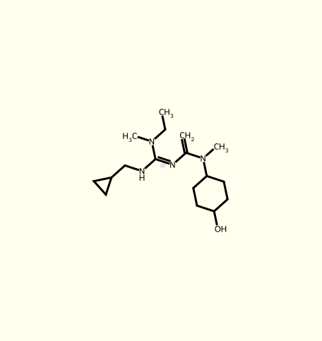 C=C(/N=C(/NCC1CC1)N(C)CC)N(C)C1CCC(O)CC1